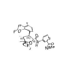 CNC(=O)c1cc(NC(=O)[C@@H]2O[C@@](C)(C(F)(F)F)[C@H](C)[C@H]2c2ccc(F)c(F)c2OC(F)F)ccn1